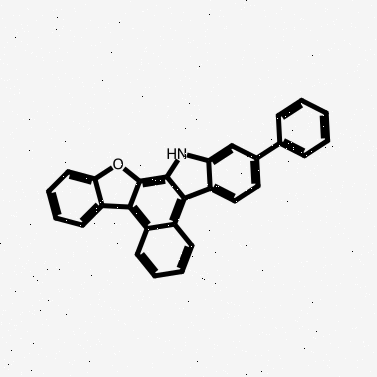 c1ccc(-c2ccc3c(c2)[nH]c2c4oc5ccccc5c4c4ccccc4c32)cc1